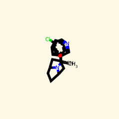 CC(c1ccccc1)N1C2CCC1CC(C#N)(c1cncc(Cl)c1)C2